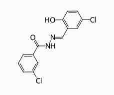 O=C(NN=Cc1cc(Cl)ccc1O)c1cccc(Cl)c1